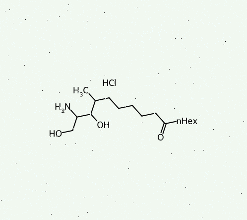 CCCCCCC(=O)CCCCCC(C)C(O)C(N)CO.Cl